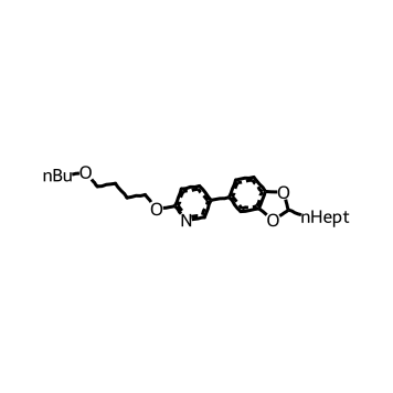 CCCCCCCC1Oc2ccc(-c3ccc(OCCCCOCCCC)nc3)cc2O1